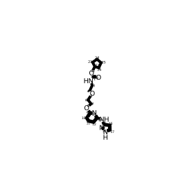 O=C(NCCOCCOc1cccc(Nc2cc[nH]n2)n1)OC1CCCC1